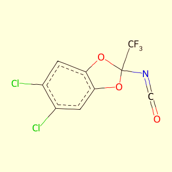 O=C=NC1(C(F)(F)F)Oc2cc(Cl)c(Cl)cc2O1